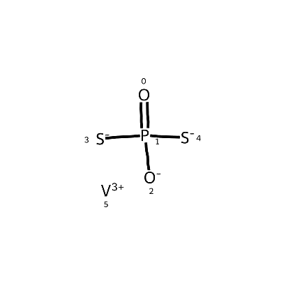 O=P([O-])([S-])[S-].[V+3]